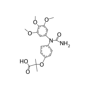 COc1cc(N(C(N)=O)c2ccc(OC(C)(C)C(=O)O)cc2)cc(OC)c1OC